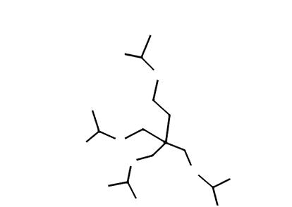 CC(C)OCCC(COC(C)C)(COC(C)C)COC(C)C